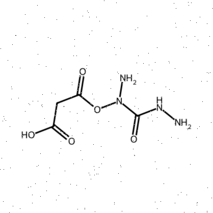 NNC(=O)N(N)OC(=O)CC(=O)O